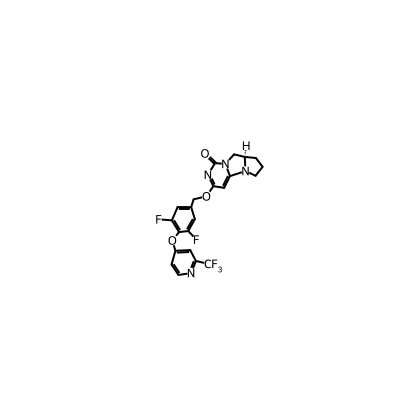 O=c1nc(OCc2cc(F)c(Oc3ccnc(C(F)(F)F)c3)c(F)c2)cc2n1C[C@H]1CCCN21